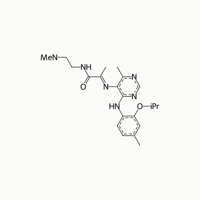 CNCCNC(=O)/C(C)=N/c1c(C)ncnc1Nc1ccc(C)cc1OC(C)C